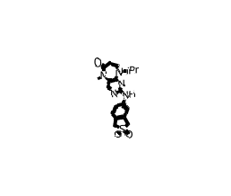 CC(C)N1CCC(=O)N(C)c2cnc(Nc3ccc4c(c3)CS(=O)(=O)C4)nc21